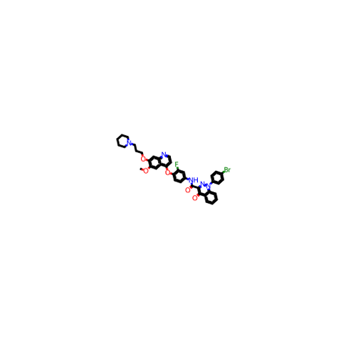 COc1cc2c(Oc3ccc(NC(=O)c4nn(-c5ccc(Br)cc5)c5ccccc5c4=O)cc3F)ccnc2cc1OCCCN1CCCCC1